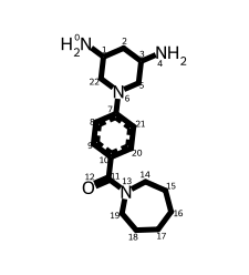 NC1CC(N)CN(c2ccc(C(=O)N3CCCCCC3)cc2)C1